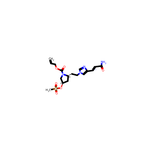 C=CCOC(=O)N1C[C@H](OS(C)(=O)=O)C[C@H]1CCn1cnc(/C=C/C(N)=O)c1